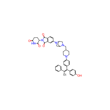 CCC(=C(c1ccc(O)cc1)c1ccc(N2CCC(CN3CC4CC3CN4c3ccc4c(c3)C(=O)N(C3CCC(=O)NC3=O)C4=O)CC2)cc1)c1ccccc1